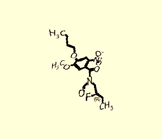 CCCCOc1cc([N+](=O)[O-])c(C(=O)N(C=O)C[C@H](F)CC)cc1OC